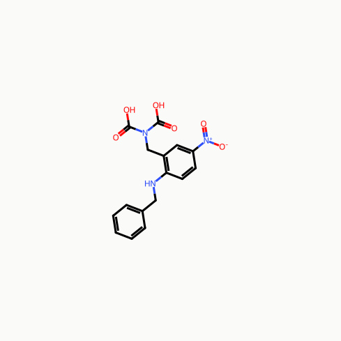 O=C(O)N(Cc1cc([N+](=O)[O-])ccc1NCc1ccccc1)C(=O)O